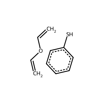 C=COC=C.Sc1ccccc1